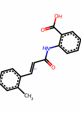 Cc1ccccc1/C=C/C(=O)Nc1ccccc1C(=O)O